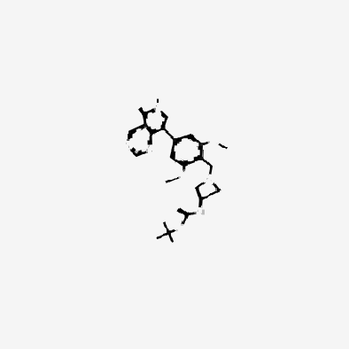 COc1cc(-c2cn(C)c(=O)c3cncnc23)cc(OC)c1CN1CC(NC(=O)OC(C)(C)C)C1